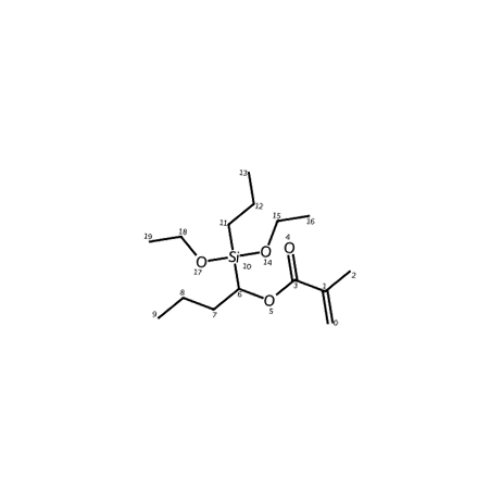 C=C(C)C(=O)OC(CCC)[Si](CCC)(OCC)OCC